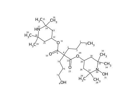 CCCCC(CCCO)(C(=O)OC1CC(C)(C)NC(C)(C)C1)C(=O)OC1CC(C)(C)N(O)C(C)(C)C1